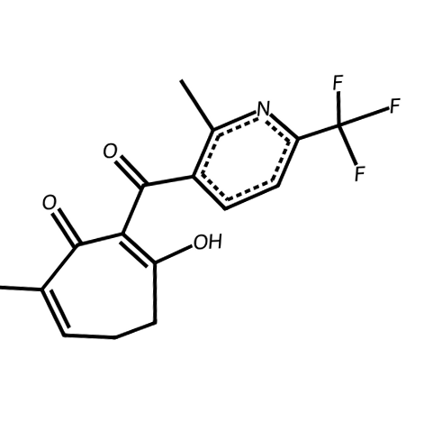 CC1=CCCC(O)=C(C(=O)c2ccc(C(F)(F)F)nc2C)C1=O